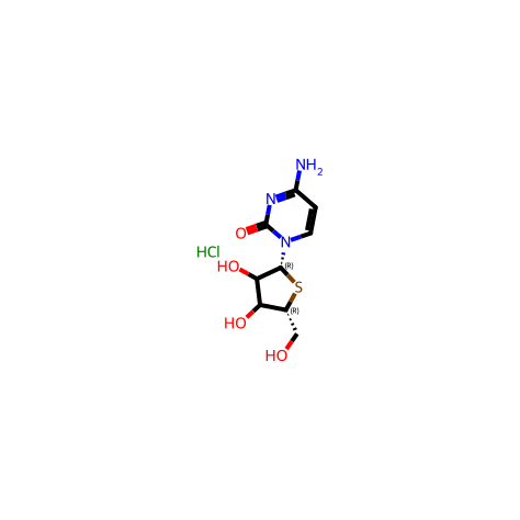 Cl.Nc1ccn([C@@H]2S[C@H](CO)C(O)C2O)c(=O)n1